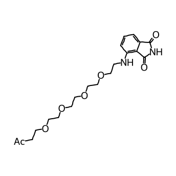 CC(=O)CCOCCOCCOCCOCCNc1cccc2c1C(=O)NC2=O